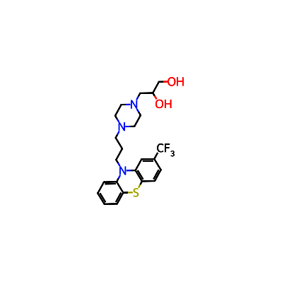 OCC(O)CN1CCN(CCCN2c3ccccc3Sc3ccc(C(F)(F)F)cc32)CC1